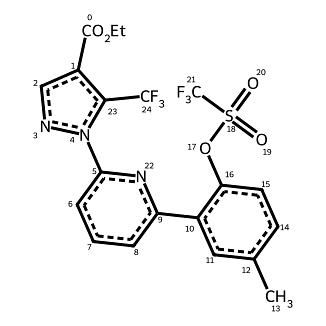 CCOC(=O)c1cnn(-c2cccc(-c3cc(C)ccc3OS(=O)(=O)C(F)(F)F)n2)c1C(F)(F)F